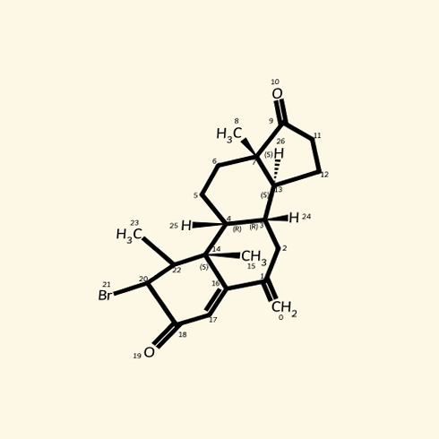 C=C1C[C@@H]2[C@@H](CC[C@]3(C)C(=O)CC[C@@H]23)[C@]2(C)C1=CC(=O)C(Br)C2C